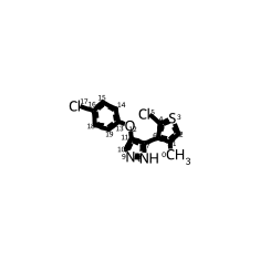 Cc1csc(Cl)c1-c1[nH]ncc1Oc1ccc(Cl)cc1